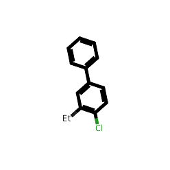 CCc1cc(-c2ccccc2)ccc1Cl